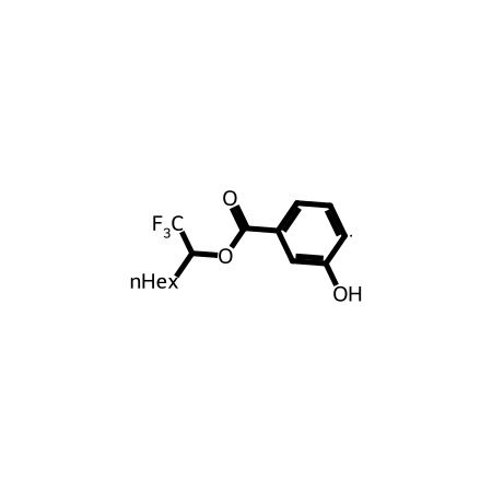 CCCCCCC(OC(=O)c1cc[c]c(O)c1)C(F)(F)F